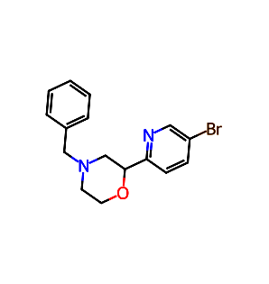 Brc1ccc(C2CN(Cc3ccccc3)CCO2)nc1